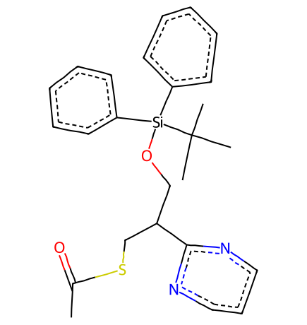 CC(=O)SCC(CO[Si](c1ccccc1)(c1ccccc1)C(C)(C)C)c1ncccn1